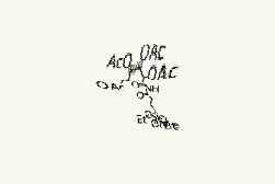 CCO[Si](CCCC(=O)N[C@@H]1OC(COC(C)=O)[C@@H](OC(C)=O)[C@H](OC(C)=O)C1OC(C)=O)(OC)OCC